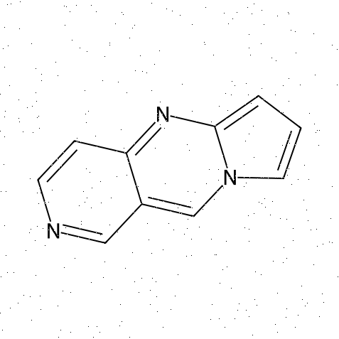 c1cc2nc3ccncc3cn2c1